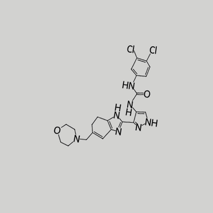 O=C(Nc1ccc(Cl)c(Cl)c1)Nc1c[nH]nc1-c1nc2c([nH]1)CCC(CN1CCOCC1)=C2